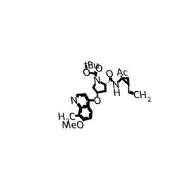 C=C[C@@H]1C[C@]1(NC(=O)[C@@H]1C[C@@H](Oc2ccnc3c(C)c(OC)ccc23)CN1C(=O)OC(C)(C)C)C(C)=O